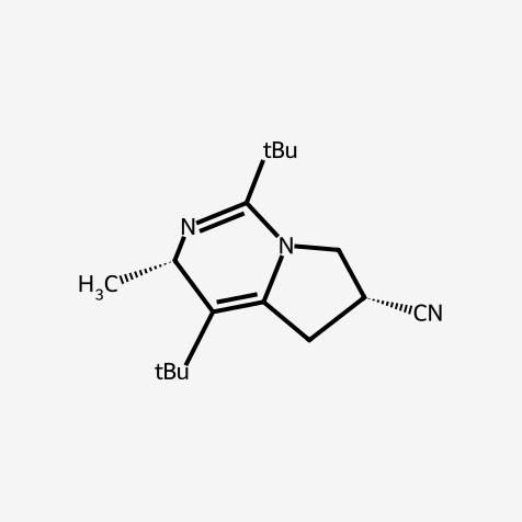 C[C@@H]1N=C(C(C)(C)C)N2C[C@H](C#N)CC2=C1C(C)(C)C